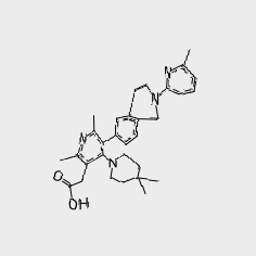 Cc1cccc(N2CCc3cc(-c4c(C)nc(C)c(CC(=O)O)c4N4CCC(C)(C)CC4)ccc3C2)n1